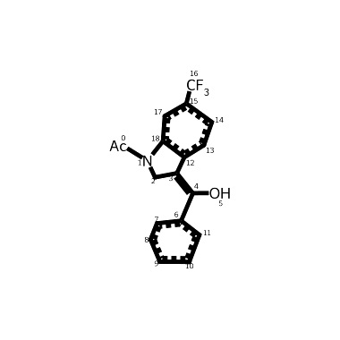 CC(=O)N1CC(=C(O)c2ccccc2)c2ccc(C(F)(F)F)cc21